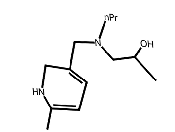 CCCN(CC1=CC=C(C)NC1)CC(C)O